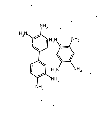 Nc1cc(N)c(N)cc1N.Nc1ccc(-c2ccc(N)c(N)c2)cc1N